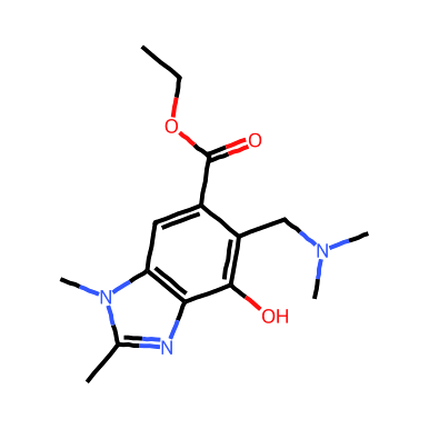 CCOC(=O)c1cc2c(nc(C)n2C)c(O)c1CN(C)C